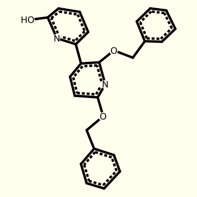 Oc1cccc(-c2ccc(OCc3ccccc3)nc2OCc2ccccc2)n1